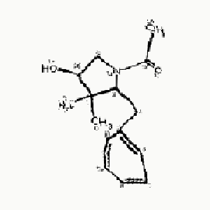 CC1(C)C(Cc2ccccc2)N(C(=O)O)C[C@@H]1O